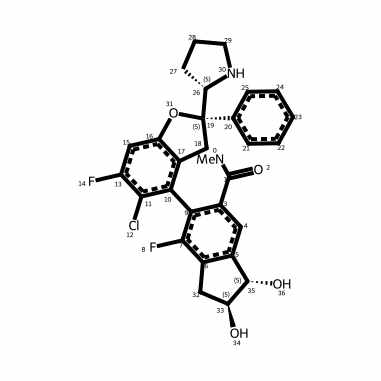 CNC(=O)c1cc2c(c(F)c1-c1c(Cl)c(F)cc3c1C[C@](c1ccccc1)([C@@H]1CCCN1)O3)C[C@H](O)[C@H]2O